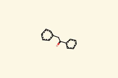 O=C([CH]c1ccccc1)c1ccccc1